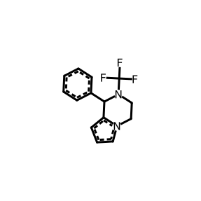 FC(F)(F)N1CCn2cccc2C1c1ccccc1